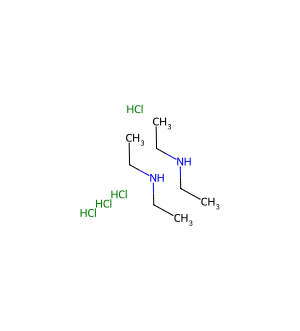 CCNCC.CCNCC.Cl.Cl.Cl.Cl